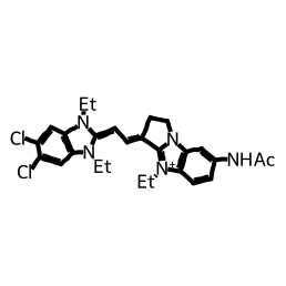 CCN1C(=CC=C2CCn3c2[n+](CC)c2ccc(NC(C)=O)cc23)N(CC)c2cc(Cl)c(Cl)cc21